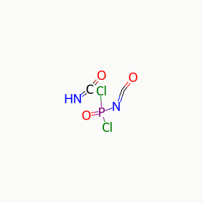 N=C=O.O=C=NP(=O)(Cl)Cl